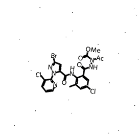 COC(=O)N(NC(=O)c1cc(Cl)cc(C)c1NC(=O)c1cc(Br)nn1-c1ncccc1Cl)C(C)=O